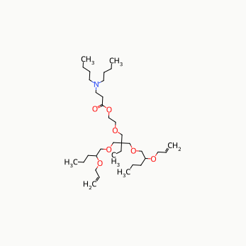 C=CCOC(CCC)COCC(CC)(COCCOC(=O)CCN(CCCC)CCCC)COCC(CCC)OCC=C